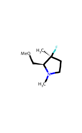 COC[C@@H]1N(C)CC[C@]1(C)F